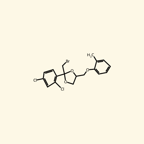 Cc1ccccc1OCC1COC(CBr)(c2ccc(Cl)cc2Cl)O1